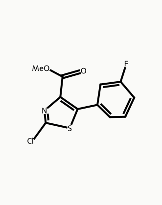 COC(=O)c1nc(Cl)sc1-c1cccc(F)c1